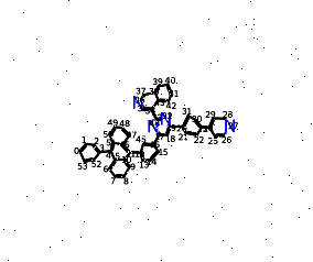 c1ccc(-c2c3ccccc3c(-c3cccc(-c4cc(-c5ccc(-c6ccncc6)cc5)nc(-c5cncc6ccccc56)n4)c3)c3ccccc23)cc1